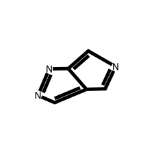 C1=NC=C2N=NC=C12